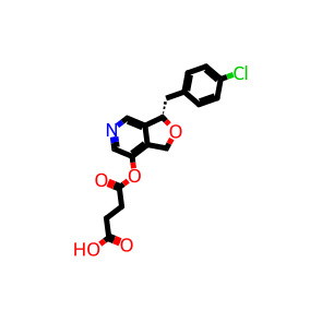 O=C(O)CCC(=O)Oc1cncc2c1CO[C@H]2Cc1ccc(Cl)cc1